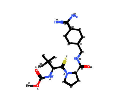 CC(C)OC(=O)N[C@H](C(=S)N1CCC[C@H]1C(=O)NCC1CCC(C(=N)N)CC1)C(C)(C)C(C)C